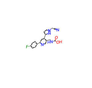 N#CCn1ccc(-c2cc(-c3ccc(F)cc3)ncc2CNC(=O)O)n1